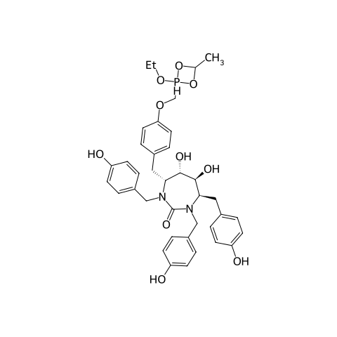 CCO[PH]1(COc2ccc(C[C@@H]3[C@H](O)[C@@H](O)[C@@H](Cc4ccc(O)cc4)N(Cc4ccc(O)cc4)C(=O)N3Cc3ccc(O)cc3)cc2)OC(C)O1